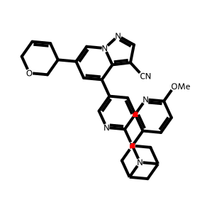 COc1ccc(CN2C3CC2CN(c2ccc(-c4cc(C5C=CCOC5)cn5ncc(C#N)c45)cn2)C3)cn1